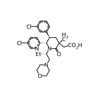 CC[C@@H](CN1CCOCC1)N1C(=O)[C@@](C)(CC(=O)O)C[C@H](c2cccc(Cl)c2)[C@H]1c1ccc(Cl)cn1